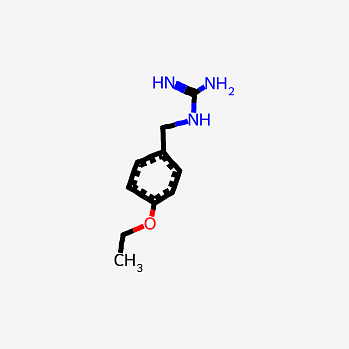 CCOc1ccc(CNC(=N)N)cc1